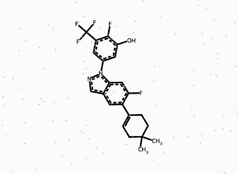 CC1(C)CC=C(c2cc3cnn(-c4cc(O)c(F)c(C(F)(F)F)c4)c3cc2F)CC1